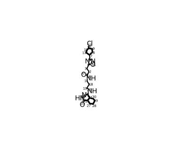 O=C(CCc1nc(-c2ccc(Cl)cc2)no1)NCCCNc1n[nH]c(=O)c2ccccc12